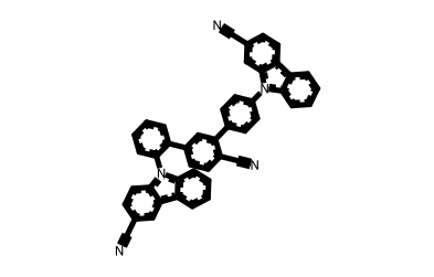 N#Cc1ccc2c(c1)c1ccccc1n2-c1ccccc1-c1ccc(C#N)c(-c2ccc(-n3c4ccccc4c4ccc(C#N)cc43)cc2)c1